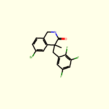 CC1(Cc2cc(F)cc(F)c2F)C(=O)[N]Cc2ccc(Br)cc21